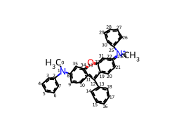 CN(c1ccccc1)c1ccc2c(-c3ccccc3)c3cc/c(=[N+](\C)c4ccccc4)cc-3oc2c1